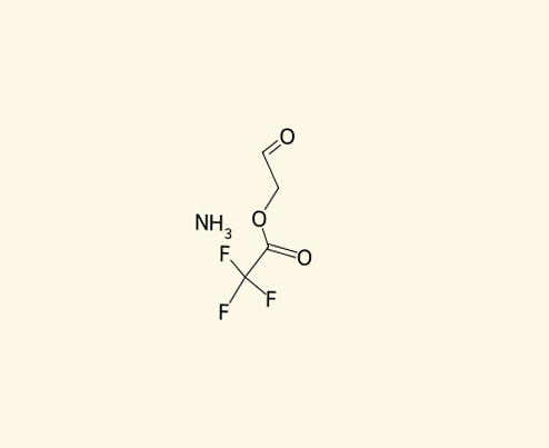 N.O=CCOC(=O)C(F)(F)F